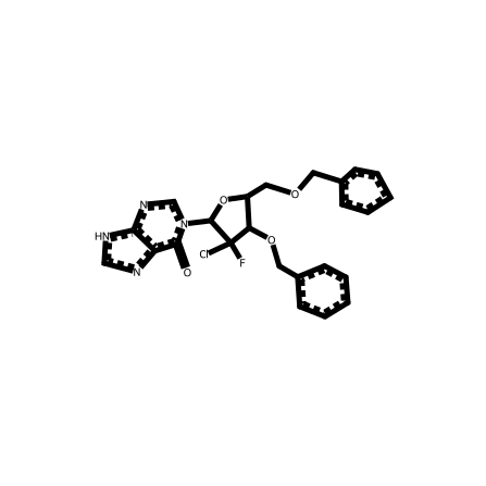 O=c1c2nc[nH]c2ncn1C1OC(COCc2ccccc2)C(OCc2ccccc2)C1(F)Cl